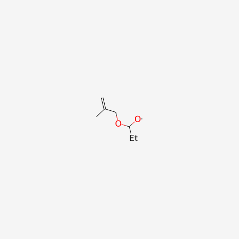 C=C(C)COC([O])CC